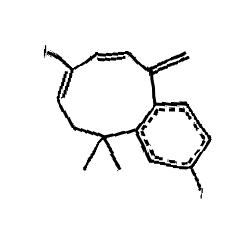 C=C1/C=C\C(I)=C/CC(C)(C)c2cc(I)ccc21